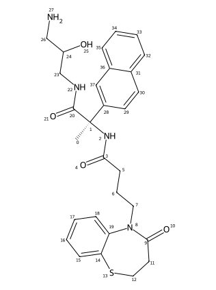 C[C@](NC(=O)CCCN1C(=O)CCSc2ccccc21)(C(=O)NCC(O)CN)c1ccc2ccccc2c1